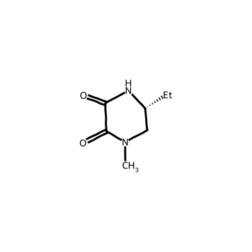 CC[C@@H]1CN(C)C(=O)C(=O)N1